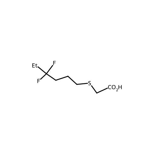 CCC(F)(F)CCCSCC(=O)O